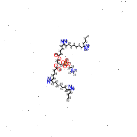 CCCCC1(CCCCCCCC2(CCCCC(=O)OCC(COP(=O)([O-])OCC[N+](C)(C)C)OC(=O)CCCCC3(CCCCCCCC4(CCCC)N=N4)N=N3)N=N2)N=N1